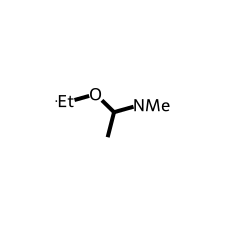 C[CH]OC(C)NC